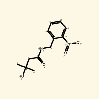 CC(C)(O)CC(=O)NCc1ccccc1[N+](=O)[O-]